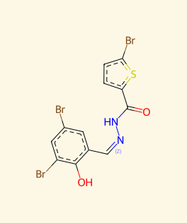 O=C(N/N=C\c1cc(Br)cc(Br)c1O)c1ccc(Br)s1